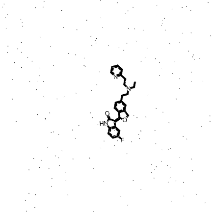 CCN(CCc1ccc2c(c1)CO/C2=C1/C(=O)Nc2ccc(F)cc21)CCc1ccccn1